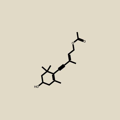 CC(=O)OCC=C(C)C#CC1=C(C)CC(O)CC1(C)C